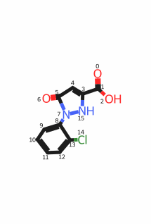 O=C(O)c1cc(=O)n(-c2ccccc2Cl)[nH]1